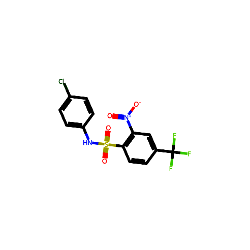 O=[N+]([O-])c1cc(C(F)(F)F)ccc1S(=O)(=O)Nc1ccc(Cl)cc1